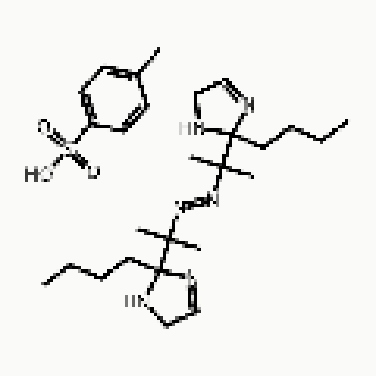 CCCCC1(C(C)(C)N=NC(C)(C)C2(CCCC)N=CCN2)N=CCN1.Cc1ccc(S(=O)(=O)O)cc1